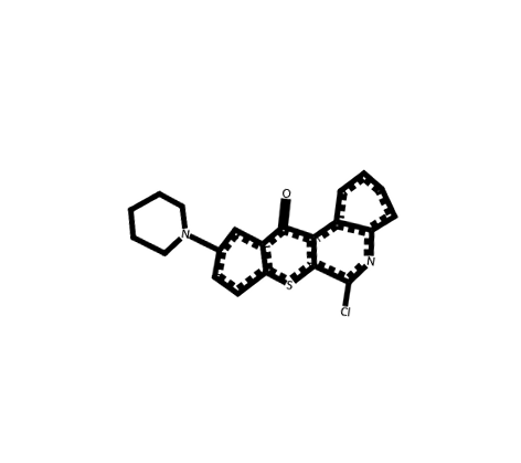 O=c1c2cc(N3CCCCC3)ccc2sc2c(Cl)nc3ccccc3c12